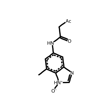 CC(=O)CC(=O)Nc1cc(C)c2c(c1)N=C[NH+]2[O-]